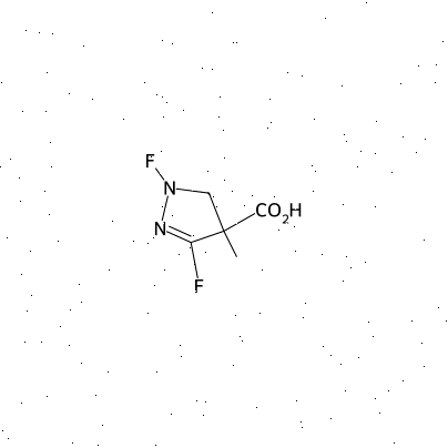 CC1(C(=O)O)CN(F)N=C1F